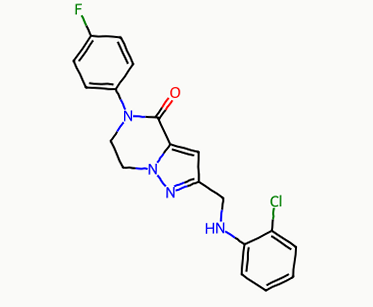 O=C1c2cc(CNc3ccccc3Cl)nn2CCN1c1ccc(F)cc1